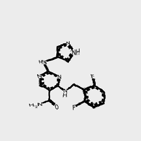 NC(=O)c1cnc(Nc2cn[nH]c2)nc1NCc1c(F)cccc1F